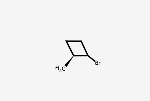 C[C@H]1CCC1Br